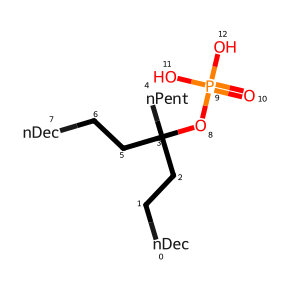 CCCCCCCCCCCCC(CCCCC)(CCCCCCCCCCCC)OP(=O)(O)O